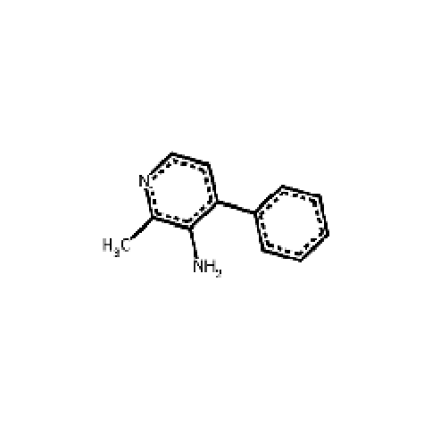 Cc1nccc(-c2ccccc2)c1N